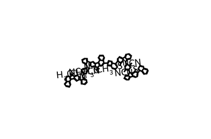 CC1(C)c2cc3c(cc2-c2c1ccc1ccccc21)c1ccccc1n3-c1cc(C#N)c(-n2c3ccccc3c3cc4c(cc32)C(C)(C)c2cc(-c3ccc5c(ccc6sc7c(ccc8c9ccccc9n(-c9cc(C#N)c(-n%10c%11ccccc%11c%11ccc%12c(sc%13ccc%14ccccc%14c%13%12)c%11%10)cc9C#N)c87)c65)c3)c3ccccc3c2-4)cc1C#N